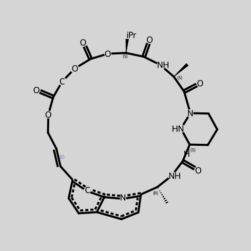 CC(C)[C@@H]1OC(=O)OCC(=O)OC/C=C/c2ccc3ccc(nc3c2)[C@@H](C)NC(=O)[C@@H]2CCCN(N2)C(=O)[C@H](C)NC1=O